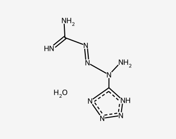 N=C(N)N=NN(N)c1nnn[nH]1.O